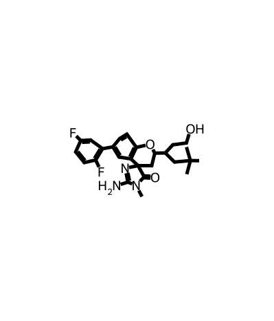 CN1C(=O)C2(CC(C(CCO)CC(C)(C)C)Oc3ccc(-c4cc(F)ccc4F)cc32)N=C1N